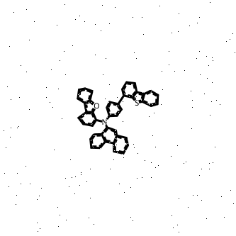 c1ccc2c(c1)cc(N(c1ccc(-c3cccc4c3sc3ccccc34)cc1)c1cccc3c1oc1ccccc13)c1ccccc12